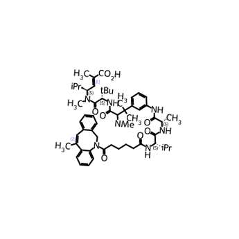 CNC(C(=O)N[C@H](C(=O)N(C)[C@H](/C=C(\C)C(=O)O)C(C)C)C(C)(C)C)C(C)(C)c1cccc(NC(=O)[C@H](C)NC(=O)[C@@H](NC(=O)CCCCC(=O)N2Cc3ccccc3/C=C(/C)c3ccccc32)C(C)C)c1